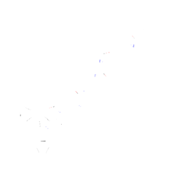 CC(=O)NC(CCCCNC(=O)OC(C)(C)C)C(=O)NCCNC(=O)C(N)CCN(C(=O)CO)C(c1cc(-c2cc(F)ccc2F)cn1Cc1ccccc1)C(C)(C)C